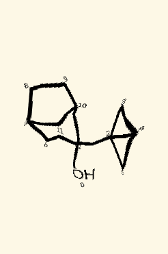 OC1(C23CC2C3)CC2CCC1C2